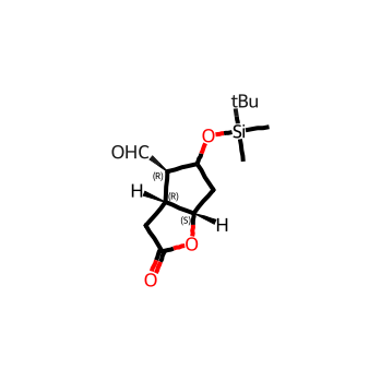 CC(C)(C)[Si](C)(C)OC1C[C@@H]2OC(=O)C[C@@H]2[C@H]1C=O